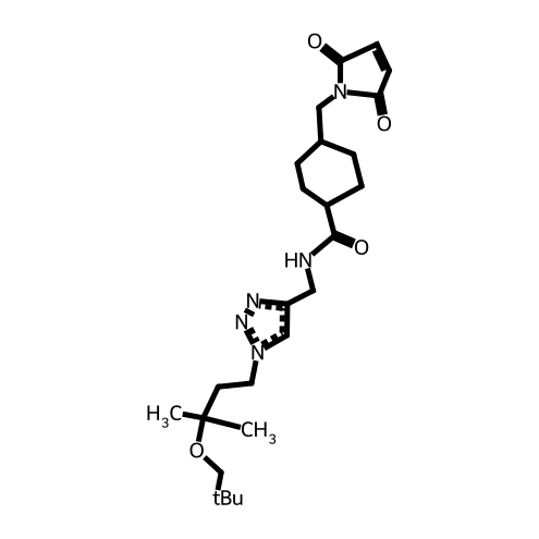 CC(C)(C)COC(C)(C)CCn1cc(CNC(=O)C2CCC(CN3C(=O)C=CC3=O)CC2)nn1